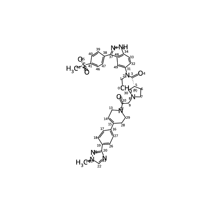 CCN(C(=O)[C@@H]1CCN(CC(=O)N2CC=C(c3ccc(-c4ncn(C)n4)cc3)CC2)C1)c1ccc2[nH]nc(-c3ccc(S(C)(=O)=O)cc3)c2c1